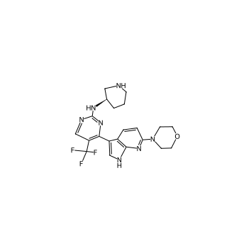 FC(F)(F)c1cnc(N[C@@H]2CCCNC2)nc1-c1c[nH]c2nc(N3CCOCC3)ccc12